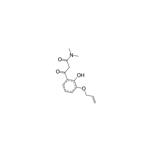 C=CCOc1cccc(C(=O)CC(=O)N(C)C)c1O